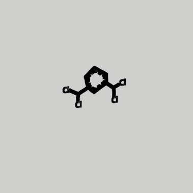 ClC(Cl)c1cccc(C(Cl)Cl)c1